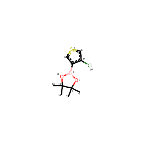 CC1(C)OB(c2cscc2Cl)OC1(C)C